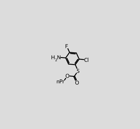 CCCOC(=O)Sc1cc(N)c(F)cc1Cl